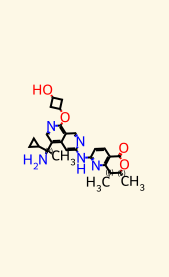 C[C@@H]1OC(=O)c2ccc(Nc3cc4c([C@](C)(N)C5CC5)cnc(OC5CC(O)C5)c4cn3)nc2[C@H]1C